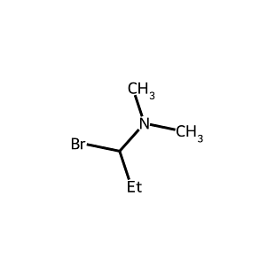 [CH2]CC(Br)N(C)C